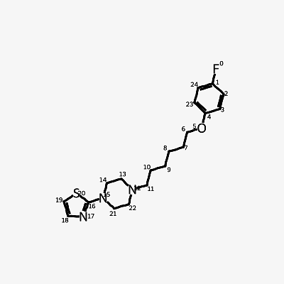 Fc1ccc(OCCCCCCN2CCN(c3nccs3)CC2)cc1